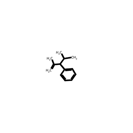 C=C(C)C(c1ccccc1)C(C)C